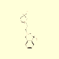 FC1(F)CCN(CCNCc2ccccc2C(F)(F)F)C1